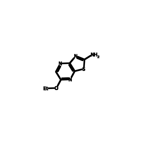 CCOc1cnc2nc(N)sc2n1